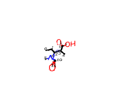 CC/C(=C(/C)C(=O)O)N(C)C=O